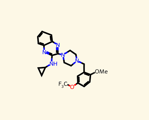 COc1ccc(OC(F)(F)F)cc1CN1CCN(c2nc3ccccc3nc2NC2CC2)CC1